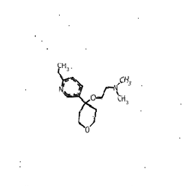 CCc1ccc(C2(OCCN(C)C)CCOCC2)cn1